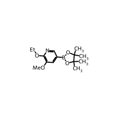 CCOc1ncc(B2OC(C)(C)C(C)(C)O2)cc1OC